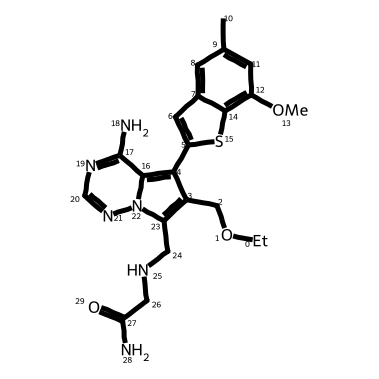 CCOCc1c(-c2cc3cc(C)cc(OC)c3s2)c2c(N)ncnn2c1CNCC(N)=O